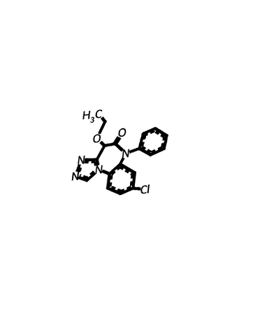 CCOC1C(=O)N(c2ccccc2)c2cc(Cl)ccc2-n2cnnc21